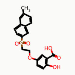 Cc1ccc2cc(S(=O)(=O)CCOc3ccc(O)c(C(=O)O)c3)ccc2c1